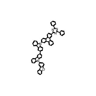 c1ccc(-c2nc(-c3ccccc3)nc(-c3ccc4c5ccc(-n6c7ccccc7c7cc(-c8ccc9c(c8)c8ccccc8n9-c8ccc9oc%10ccccc%10c9c8)ccc76)cc5c5ccccc5c4c3)n2)cc1